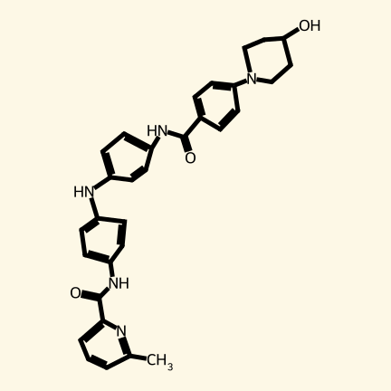 Cc1cccc(C(=O)Nc2ccc(Nc3ccc(NC(=O)c4ccc(N5CCC(O)CC5)cc4)cc3)cc2)n1